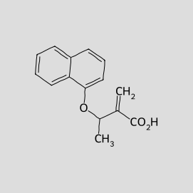 C=C(C(=O)O)C(C)Oc1cccc2ccccc12